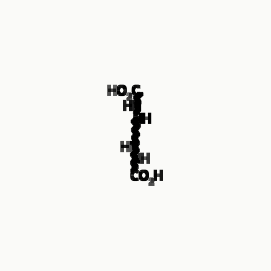 O=C(O)CCCNCCNCCCCCCNCCNCCCC(=O)O